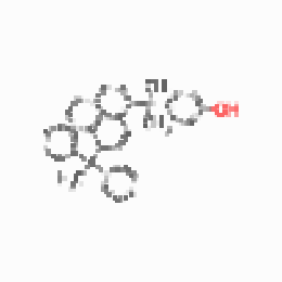 CC(C)(c1ccc(O)cc1)c1ccc2cccc3c2c1C=CC3C(C)(c1ccccc1)c1ccccc1